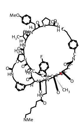 CNCCCCCC(=O)NCC1NC(=O)[C@H](C)NC(=O)CCC(=O)N2CCCCCCn3cc(c4cc(F)ccc43)C[C@@H]3NC(=O)[C@H](Cc4cccc(c4)CNC(=O)CO[C@H]4CCN(C3=O)[C@H]4C(=O)N[C@@H]([C@@H](C)O)C(=O)N[C@@H](Cc3ccc(OC)cc3)C(=O)N3CCC[C@@]3(C)C(=O)NCCc3ccc(cc3)C2)NC1=O